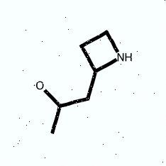 CC([O])CC1CCN1